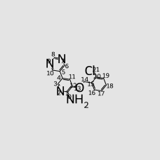 Nc1ncc(-c2cncnc2)cc1OCc1ccccc1Cl